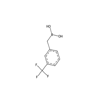 OB(O)Cc1cccc(C(F)(F)F)c1